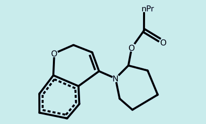 CCCC(=O)OC1CCCCN1C1=CCOc2ccccc21